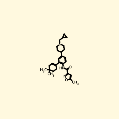 Cc1cc(C(=O)Nc2ccc(C3CCN(CC4CC4)CC3)cc2C2=CCC(C)(C)CC2)no1